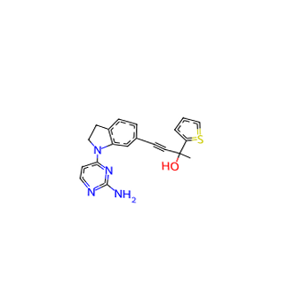 CC(O)(C#Cc1ccc2c(c1)N(c1ccnc(N)n1)CC2)c1cccs1